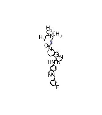 CC(C)N(C)C/C=C/C(=O)N1CCCc2c(sc3ncnc(Nc4ccc5c(cnn5Cc5cccc(F)c5)c4)c23)C1